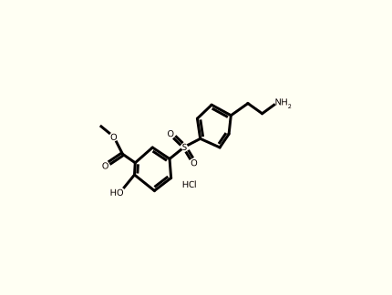 COC(=O)c1cc(S(=O)(=O)c2ccc(CCN)cc2)ccc1O.Cl